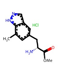 COC(=O)[C@H](N)Cc1cc(C)c2[nH]ncc2c1.Cl